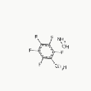 NO.O=C(O)c1c(F)c(F)c(F)c(F)c1F